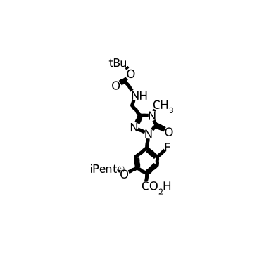 CCC[C@H](C)Oc1cc(-n2nc(CNC(=O)OC(C)(C)C)n(C)c2=O)c(F)cc1C(=O)O